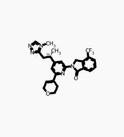 C[C@@H](Cc1nncn1C)c1cc(C2=CCOCC2)nc(N2Cc3c(cccc3C(F)(F)F)C2=O)c1